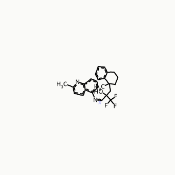 Cc1ccc2c(/N=C\C(O)(CC3(C)CCCc4ccccc43)C(F)(F)F)cccc2n1